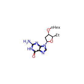 CCCCCCO[C@@H]1C[C@H](n2cnc3c(=O)[nH]c(N)nc32)O[C@@H]1CC